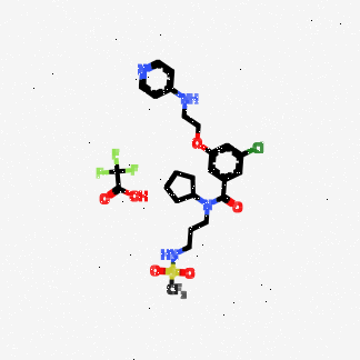 O=C(O)C(F)(F)F.O=C(c1cc(Cl)cc(OCCNc2ccncc2)c1)N(CCCNS(=O)(=O)C(F)(F)F)C1CCCC1